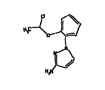 CC(Cl)Oc1ccccc1-n1ccc(N)n1